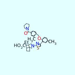 CCC1(C(=O)O)C2CCC23CN(c2nc(-c4cc(C)ccc4OCc4ccc(C(=O)N5CCCCC5)cc4C)cs2)CC31